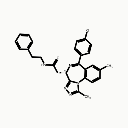 Cc1ccc2c(c1)C(c1ccc(Cl)cc1)=N[C@@H](CC(=O)NCCc1ccccc1)c1nnc(C)n1-2